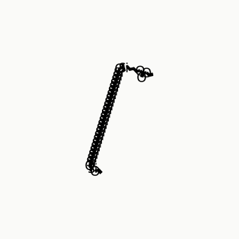 C=COC(=O)OCCCC[Si](C)(C)O[Si](C)(C)[Si](C)(C)[Si](C)(C)[Si](C)(C)[Si](C)(C)[Si](C)(C)[Si](C)(C)[Si](C)(C)[Si](C)(C)[Si](C)(C)[Si](C)(C)[Si](C)(C)[Si](C)(C)[Si](C)(C)[Si](C)(C)[Si](C)(C)[Si](C)(C)[Si](C)(C)[Si](C)(C)[Si](C)(C)[Si](C)(C)[Si](C)(C)[Si](C)(C)[Si](C)(C)[Si](C)(C)O[Si](C)(C)OC=C